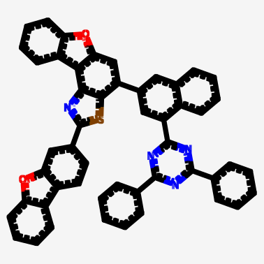 c1ccc(-c2nc(-c3ccccc3)nc(-c3cc(-c4cc5oc6ccccc6c5c5nc(-c6ccc7c(c6)oc6ccccc67)sc45)cc4ccccc34)n2)cc1